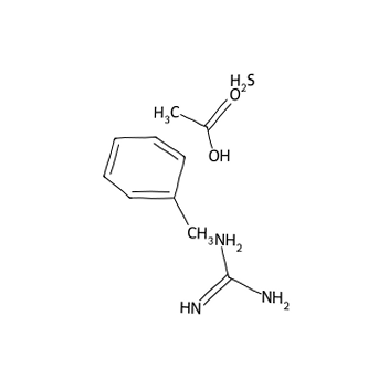 CC(=O)O.Cc1ccccc1.N=C(N)N.S